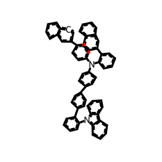 c1ccc(N(c2ccc(-c3ccc(-c4ccccc4-n4c5ccccc5c5ccccc54)cc3)cc2)c2ccc(-c3ccc4ccccc4c3)cc2)c(-c2ccc3ccccc3c2)c1